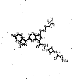 Cn1nc(-c2cnc3c(n2)c(C(=O)NC[C@H]2C[C@@H](NC(=O)OC(C)(C)C)C2)cn3COCC[Si](C)(C)C)c2ccc(F)cc21